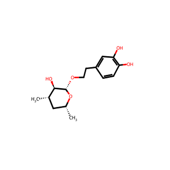 C[C@@H]1C[C@H](C)[C@@H](O)[C@H](OCCc2ccc(O)c(O)c2)O1